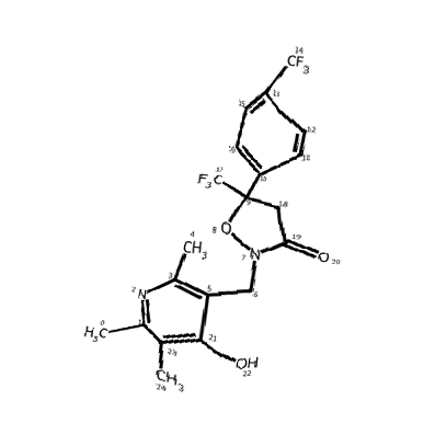 Cc1nc(C)c(CN2OC(c3ccc(C(F)(F)F)cc3)(C(F)(F)F)CC2=O)c(O)c1C